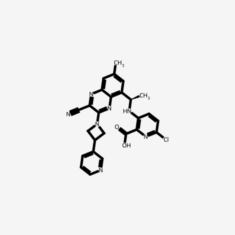 Cc1cc([C@@H](C)Nc2ccc(Cl)nc2C(=O)O)c2nc(N3CC(c4cccnc4)C3)c(C#N)nc2c1